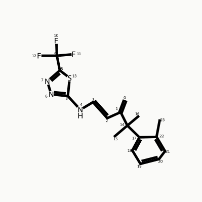 C=C(C=CNc1nnc(C(F)(F)F)s1)C(C)(C)c1ccccc1C